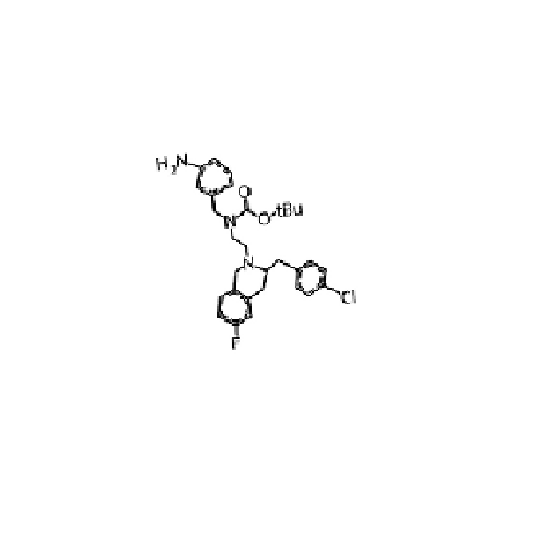 CC(C)(C)OC(=O)N(CCN1Cc2ccc(F)cc2CC1Cc1ccc(Cl)cc1)Cc1cccc(N)c1